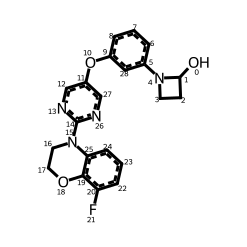 OC1CCN1c1cccc(Oc2cnc(N3CCOc4c(F)cccc43)nc2)c1